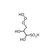 O=S(=O)(O)C(O)C(O)SOOO